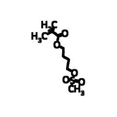 C=C(C)C(=O)OCCCCOS(C)(=O)=O